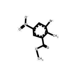 COC(=O)c1cc([N+](=O)[O-])cc(Br)c1C